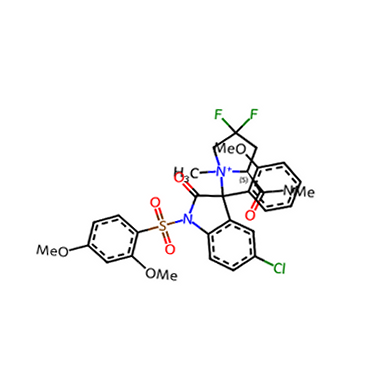 CNC(=O)[C@@H]1CC(F)(F)C[N+]1(C)C1(c2ccccc2OC)C(=O)N(S(=O)(=O)c2ccc(OC)cc2OC)c2ccc(Cl)cc21